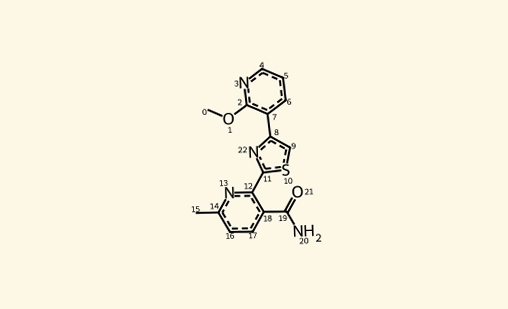 COc1ncccc1-c1csc(-c2nc(C)ccc2C(N)=O)n1